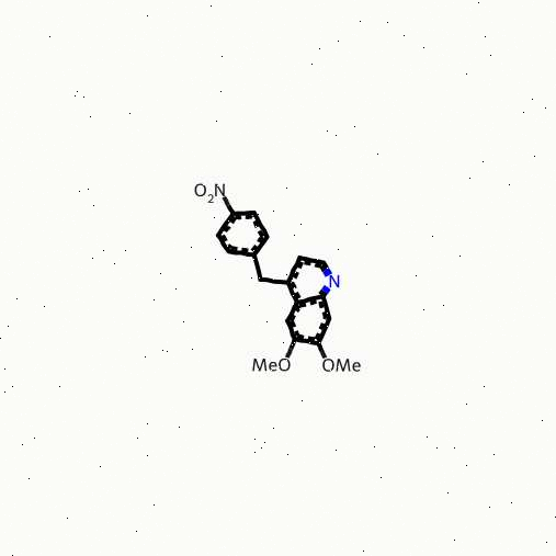 COc1cc2nccc(Cc3ccc([N+](=O)[O-])cc3)c2cc1OC